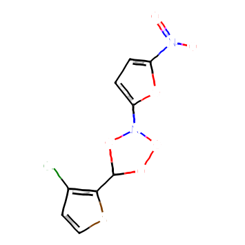 O=[N+]([O-])c1ccc(N2OOC(c3sccc3Cl)O2)o1